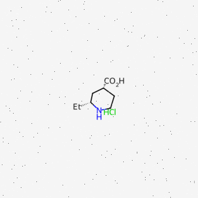 CC[C@@H]1C[C@H](C(=O)O)CCN1.Cl